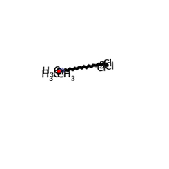 C[Si](C)(C)/C=C/CCCCCCCCCCCCCCCCC[Si](Cl)(Cl)Cl